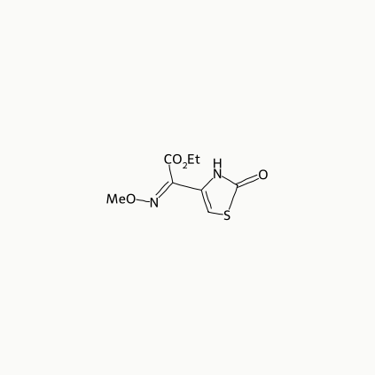 CCOC(=O)C(=NOC)c1csc(=O)[nH]1